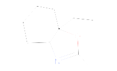 CCC12CCCCC1N=C(C)O2